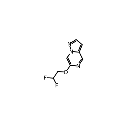 FC(F)COc1cn2nccc2cn1